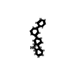 C1=CCC(c2cccc(-c3ccc4c(c3)[nH]c3ccccc34)c2)C=C1